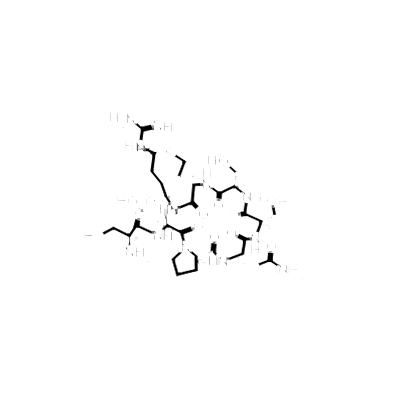 CC(C)[C@H](NC(=O)[C@@H](N)CS)C(=O)N1CCC[C@H]1C(=O)N[C@@H](CC(N)=O)C(=O)N[C@@H](CO)C(=O)N[C@@H](CO)C(=O)N[C@@H](CCC(=O)O)C(=O)N[C@@H](CCCNC(=N)N)C(=O)O